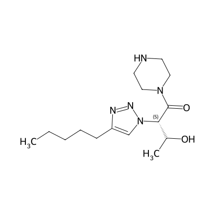 CCCCCc1cn([C@H](C(=O)N2CCNCC2)C(C)O)nn1